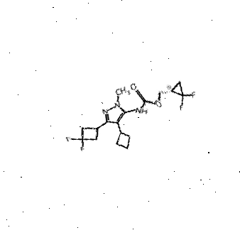 Cn1nc(C2CC(F)(F)C2)c(C2CCC2)c1NC(=O)OC[C@@H]1CC1(F)F